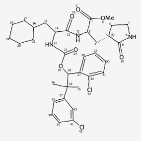 COC(=O)C(C[C@@H]1CCNC1=O)NC(=O)C(CC1CCCCC1)NC(=O)OC(c1ccccc1Cl)C(C)(C)c1cccc(Cl)c1